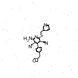 N#Cc1c(N)nc(SCc2cccnc2)c(C#N)c1-c1ccc(CC2COC2)cc1